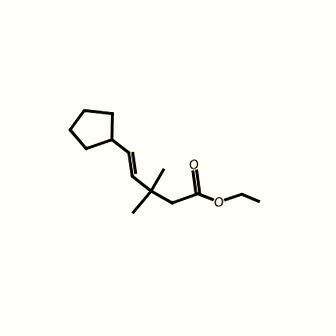 CCOC(=O)CC(C)(C)C=CC1CCCC1